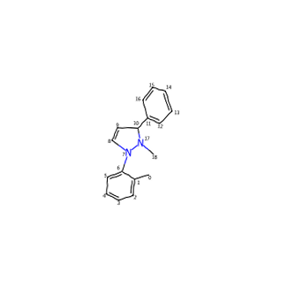 Cc1ccccc1N1C=CC(c2ccccc2)N1C